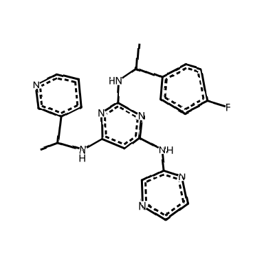 CC(Nc1cc(Nc2cnccn2)nc(NC(C)c2ccc(F)cc2)n1)c1cccnc1